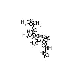 CC(=O)O[C@@H](C)C=CC(=O)N[C@@H]1C[C@H](C)[C@H](CC=C(C)C=C[C@H]2O[C@H](CC(=O)NCCNC(=O)CI)C[C@@]3(CO3)[C@@H]2O)O[C@@H]1C